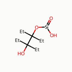 CCC(O)(CC)C(CC)(CC)O[Si](=O)O